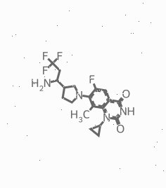 Cc1c(N2CCC(C(N)CC(F)(F)F)C2)c(F)cc2c(=O)[nH]c(=O)n(C3CC3)c12